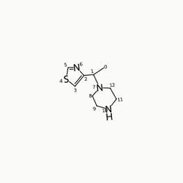 CC(c1cscn1)N1CCNCC1